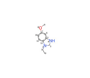 CCN1CNc2cc(OC)ccc21